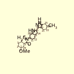 COC1CCCC(C(=O)N(C)c2ccc3cc(-c4n[nH]c5c4CCC(C)C5)[nH]c3c2)C1